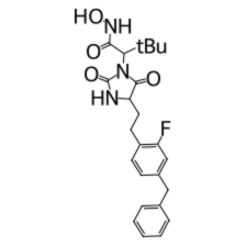 CC(C)(C)C(C(=O)NO)N1C(=O)NC(CCc2ccc(Cc3ccccc3)cc2F)C1=O